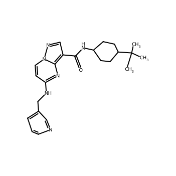 CC(C)(C)C1CCC(NC(=O)c2cnn3ccc(NCc4cccnc4)nc23)CC1